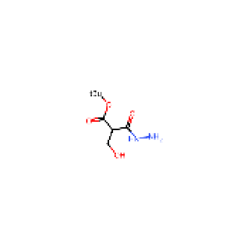 CC(C)(C)OC(=O)C(CO)C(=O)NN